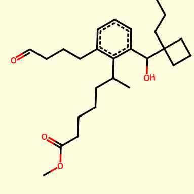 CCCC1(C(O)c2cccc(CCCC=O)c2C(C)CCCCC(=O)OC)CCC1